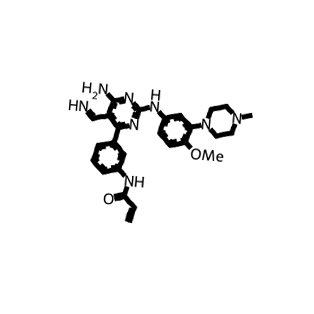 C=CC(=O)Nc1cccc(-c2nc(Nc3ccc(OC)c(N4CCN(C)CC4)c3)nc(N)c2C=N)c1